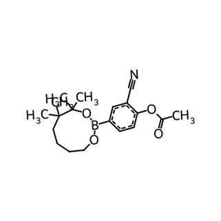 CC(=O)Oc1ccc(B2OCCCCC(C)(C)C(C)(C)O2)cc1C#N